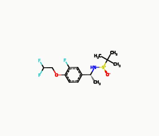 C[C@@H](N[S@+]([O-])C(C)(C)C)c1ccc(OCC(F)F)c(F)c1